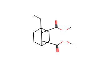 CC(C)CC12CCC(CC1)C(C(=O)OC(C)C)C2C(=O)OC(C)C